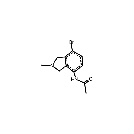 CC(=O)Nc1ccc(Br)c2c1CN(C)C2